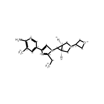 Nc1ncc(-c2cn(C3[C@H]4CN(C5COC5)C[C@@H]34)c(CC(F)(F)F)n2)cc1C(F)(F)F